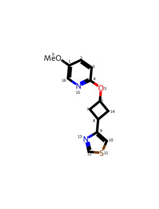 COc1ccc(OC2CC(c3cscn3)C2)nc1